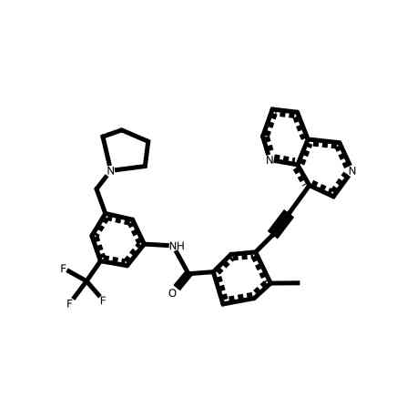 Cc1ccc(C(=O)Nc2cc(CN3CCCC3)cc(C(F)(F)F)c2)cc1C#Cc1cncc2cccnc12